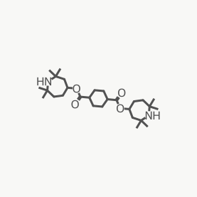 CC1(C)CCC(OC(=O)C2CCC(C(=O)OC3CCC(C)(C)NC(C)(C)C3)CC2)CC(C)(C)N1